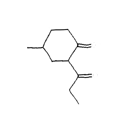 CCC(=O)C1CC(C)CCC1=O